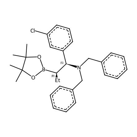 CC[C@@H](B1OC(C)(C)C(C)(C)O1)[C@@H](c1cccc(Cl)c1)N(Cc1ccccc1)Cc1ccccc1